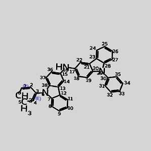 C/C=C\C(=C/C)n1c2ccccc2c2cc(Nc3ccc4c(c3)c3ccccc3n4-c3ccccc3)ccc21